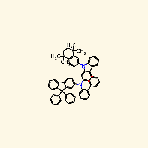 CC1(C)CCC(C)(C)c2cc(-n3c4ccccc4c4ccc(N(c5ccc6c(c5)C(c5ccccc5)(c5ccccc5)c5ccccc5-6)c5ccccc5-c5ccccc5)cc43)ccc21